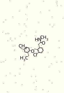 CCc1ccc(OCc2c(Cl)cccc2CC(=O)NC)c(CC)c1